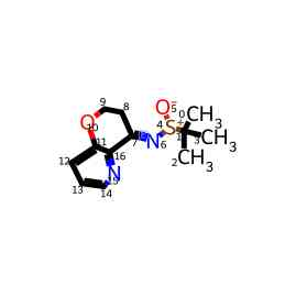 CC(C)(C)[S+]([O-])/N=C1\CCOc2cccnc21